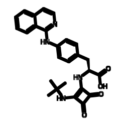 CC(C)(C)Nc1c(N[C@@H](Cc2ccc(Nc3nccc4ccccc34)cc2)C(=O)O)c(=O)c1=O